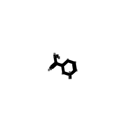 NC(=S)C1CC=CNC1